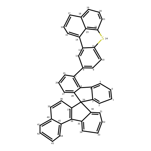 c1ccc2c(c1)-c1c(-c3ccc4c(c3)-c3cccc5cccc(c35)S4)cccc1C21c2ccccc2-c2c1ccc1ccccc21